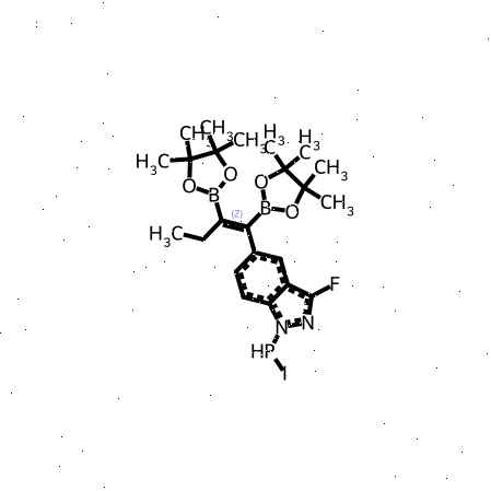 CC/C(B1OC(C)(C)C(C)(C)O1)=C(/B1OC(C)(C)C(C)(C)O1)c1ccc2c(c1)c(F)nn2PI